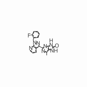 Cc1nc(-c2nn(Cc3ccccc3F)c3ncccc23)nc2[nH]c(=O)[nH]c12